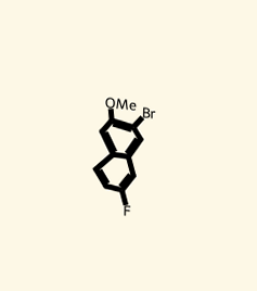 COc1cc2ccc(F)cc2cc1Br